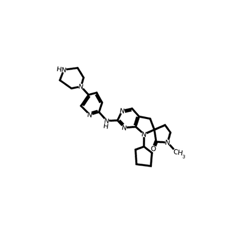 CN1CCC2(Cc3cnc(Nc4ccc(N5CCNCC5)cn4)nc3N2C2CCCC2)C1=O